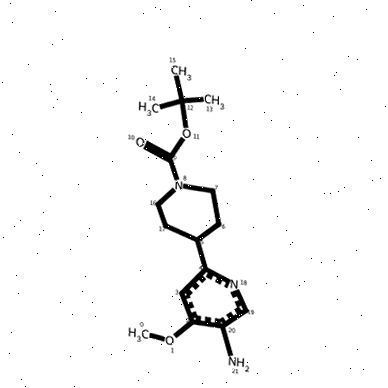 COc1cc(C2CCN(C(=O)OC(C)(C)C)CC2)ncc1N